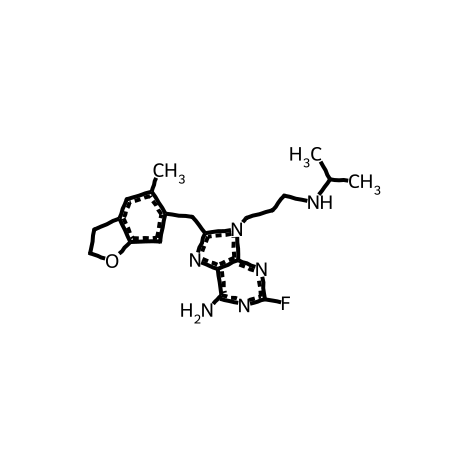 Cc1cc2c(cc1Cc1nc3c(N)nc(F)nc3n1CCCNC(C)C)OCC2